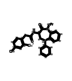 CCCN1C(=O)C(NC(=O)Cc2ccc(Cl)cc2Cl)CN(c2ccccc2)c2ccccc21